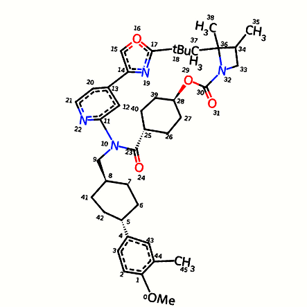 COc1ccc([C@H]2CC[C@H](CN(c3cc(-c4coc(C(C)(C)C)n4)ccn3)C(=O)[C@H]3CC[C@H](OC(=O)N4CC(C)C4(C)C)CC3)CC2)cc1C